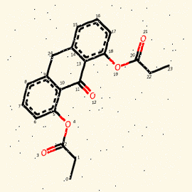 CCC(=O)Oc1cccc2c1C(=O)c1c(cccc1OC(=O)CC)C2